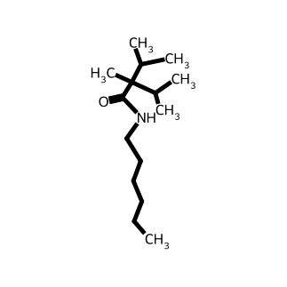 CCCCCCNC(=O)C(C)(C(C)C)C(C)C